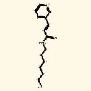 O=C(/C=C/c1cccnc1)NCCCCCCI